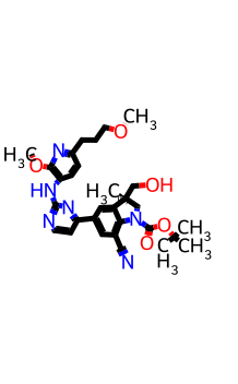 COCCCc1ccc(Nc2nccc(-c3cc(C#N)c4c(c3)[C@@](C)(CO)CN4C(=O)OC(C)(C)C)n2)c(OC)n1